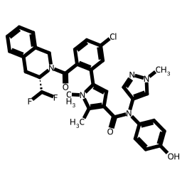 Cc1c(C(=O)N(c2ccc(O)cc2)c2cnn(C)c2)cc(-c2cc(Cl)ccc2C(=O)N2Cc3ccccc3C[C@H]2C(F)F)n1C